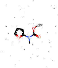 CN(C(=O)OC(C)(C)C)c1ccco1